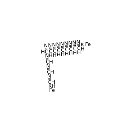 C#N.C#N.C#N.C#N.C#N.C#N.C#N.C#N.C#N.C#N.C#N.C#N.[Fe].[Fe].[KH].[KH]